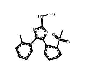 CCCCNc1nc(-c2ccccc2F)c(-c2ccccc2S(C)(=O)=O)s1